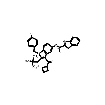 CC(=O)[C@@H](Oc1ccc2c(c1)c(C(=O)C1CCC1)c(CC(C)(C)C(=O)O)n2Cc1ccc(Cl)cc1)C1Cc2ccccc2N1